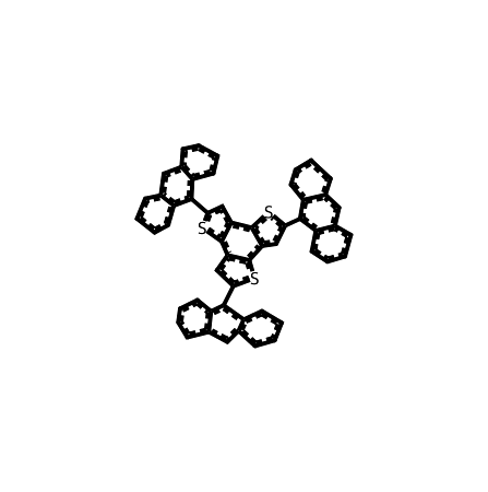 c1ccc2c(-c3cc4c(s3)c3cc(-c5c6ccccc6cc6ccccc56)sc3c3cc(-c5c6ccccc6cc6ccccc56)sc43)c3ccccc3cc2c1